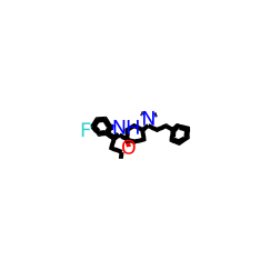 CC1Cc2c([nH]c3ccc(F)cc23)C2(CCC(C(CCc3ccccc3)N(C)C)CC2)O1